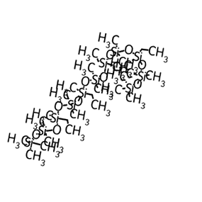 CC[Si](C)(O[Si](C)(C)O[Si](C)(C)C)O[Si](C)(C)O[Si](C)(CC)O[Si](C)(C)O[Si](C)(CC)O[Si](C)(C)O[Si](C)(CC)O[Si](C)(C)O[Si](C)(C)C